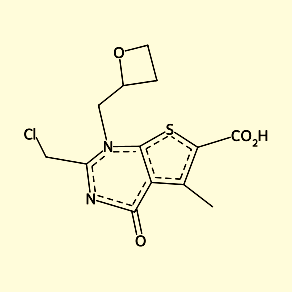 Cc1c(C(=O)O)sc2c1c(=O)nc(CCl)n2CC1CCO1